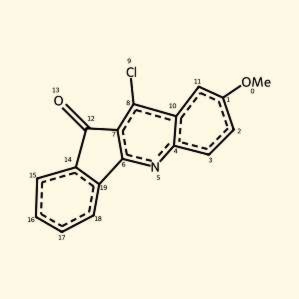 COc1ccc2nc3c(c(Cl)c2c1)C(=O)c1ccccc1-3